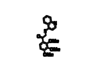 COc1ccc(C(=O)CSc2ccnc3ccccc23)c(OC)c1OC